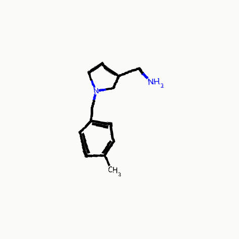 Cc1ccc(CN2CCC(CN)C2)cc1